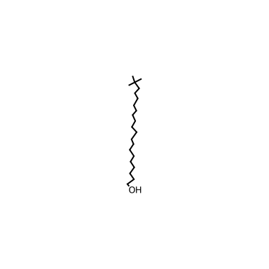 CC(C)(C)CCCCCCCCCCCCCCCCCCO